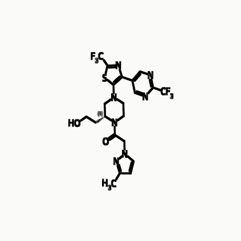 Cc1ccn(CC(=O)N2CCN(c3sc(C(F)(F)F)nc3-c3cnc(C(F)(F)F)nc3)C[C@H]2CCO)n1